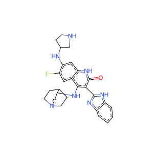 O=c1[nH]c2cc(NC3CCNC3)c(F)cc2c(NC2CN3CCC2CC3)c1-c1nc2ccccc2[nH]1